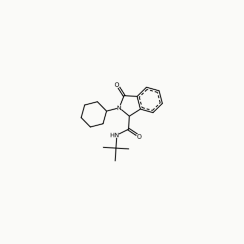 CC(C)(C)NC(=O)C1c2ccccc2C(=O)N1C1CCCCC1